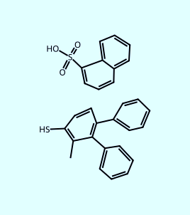 Cc1c(S)ccc(-c2ccccc2)c1-c1ccccc1.O=S(=O)(O)c1cccc2ccccc12